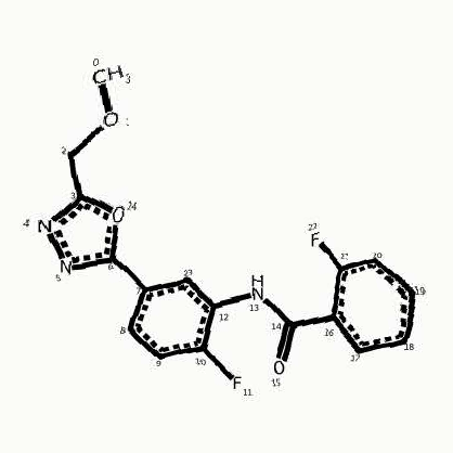 COCc1nnc(-c2ccc(F)c(NC(=O)c3ccccc3F)c2)o1